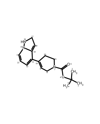 CC(C)(C)OC(=O)N1CC=C(C2=CC=CN3NCC=C23)CC1